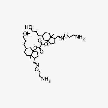 CC12CCC(CCCO)CC1(OC(=O)C(=O)OC13CCC(C=NOCCN)C1(C)CCC(CCCO)C3)CCC2C=NOCCN